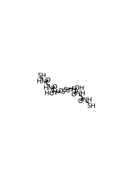 CC(C)(COSSOCC(C)(C)C(O)C(=O)NCCC(=O)NCCS)C(O)C(=O)NCCC(=O)NCCS